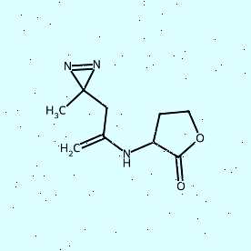 C=C(CC1(C)N=N1)NC1CCOC1=O